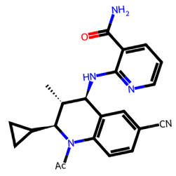 CC(=O)N1c2ccc(C#N)cc2[C@H](Nc2ncccc2C(N)=O)[C@@H](C)[C@@H]1C1CC1